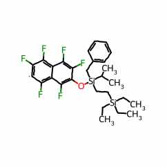 CC[Si](CC)(CC)CC[Si](Cc1ccccc1)(Oc1c(F)c(F)c2c(F)c(F)[c]c(F)c2c1F)C(C)C